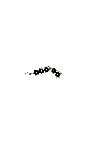 CCCCCc1ccc(-c2ccc(-c3cc(F)c(C(F)(F)Oc4ccc(-c5cc(F)c(F)c(F)c5)cc4)c(F)c3)c(F)c2)cc1